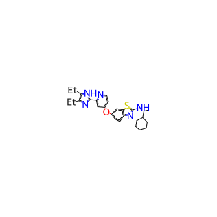 CCc1nc(-c2cc(Oc3ccc4nc(NC(C)C5CCCCC5)sc4c3)ccn2)[nH]c1CC